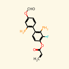 C=CC(=O)Oc1ccc(-c2ccc(OC=O)cc2P)c(P)c1F